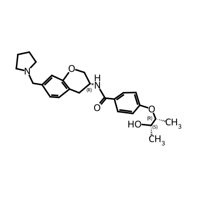 C[C@H](O)[C@@H](C)Oc1ccc(C(=O)N[C@H]2COc3cc(CN4CCCC4)ccc3C2)cc1